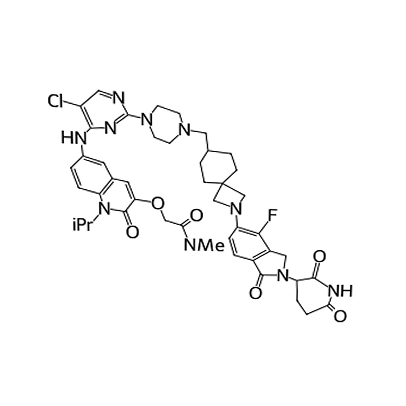 CNC(=O)COc1cc2cc(Nc3nc(N4CCN(CC5CCC6(CC5)CN(c5ccc7c(c5F)CN(C5CCC(=O)NC5=O)C7=O)C6)CC4)ncc3Cl)ccc2n(C(C)C)c1=O